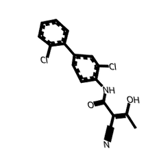 CC(O)=C(C#N)C(=O)Nc1ccc(-c2ccccc2Cl)cc1Cl